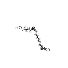 CCCCCCCCCC=CCC=CCC=CCC1OC1CCCC(=O)O